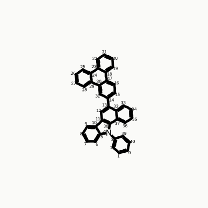 c1ccc(-n2c3ccccc3c3cc(-c4ccc5c6ccccc6c6ccccc6c5c4)c4ccccc4c32)cc1